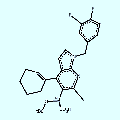 Cc1nc2c(ccn2Cc2ccc(F)c(F)c2)c(C2=CCCCC2)c1[C@H](OC(C)(C)C)C(=O)O